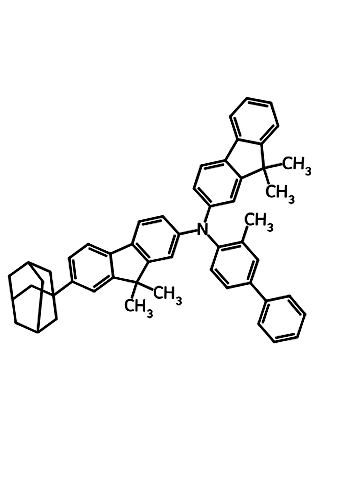 Cc1cc(-c2ccccc2)ccc1N(c1ccc2c(c1)C(C)(C)c1ccccc1-2)c1ccc2c(c1)C(C)(C)c1cc(C34CC5CC(CC(C5)C3)C4)ccc1-2